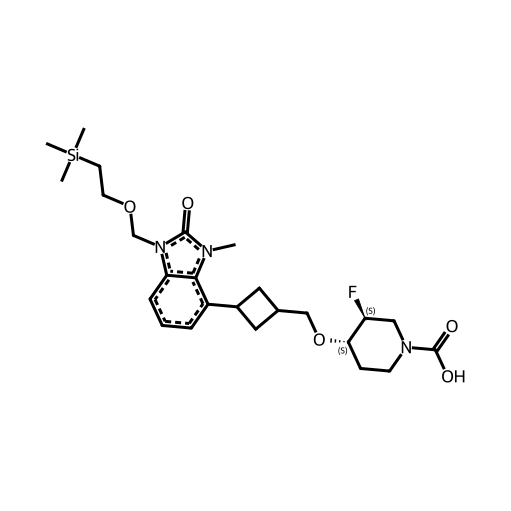 Cn1c(=O)n(COCC[Si](C)(C)C)c2cccc(C3CC(CO[C@H]4CCN(C(=O)O)C[C@@H]4F)C3)c21